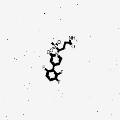 CS(=O)(=O)C(CCC(N)=O)n1ccc(-c2c(F)ccc(F)c2F)cc1=O